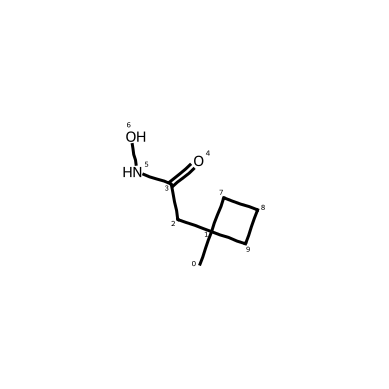 CC1(CC(=O)NO)CCC1